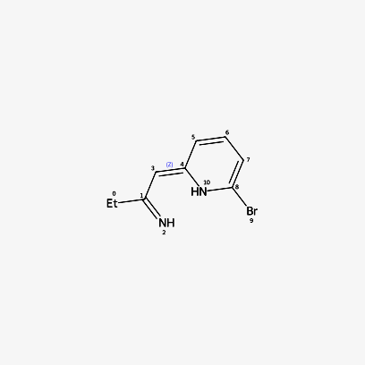 CCC(=N)/C=C1/C=CC=C(Br)N1